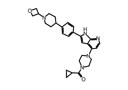 O=C(C1CC1)N1CCN(c2ccnc3[nH]c(-c4ccc(C5CCN(C6COC6)CC5)cc4)cc23)CC1